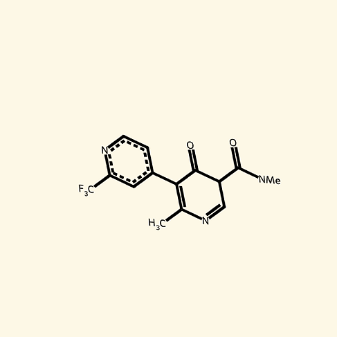 CNC(=O)C1C=NC(C)=C(c2ccnc(C(F)(F)F)c2)C1=O